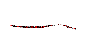 C#CC#CC#CC#CC#CC#CC#CC#CC#CC#CC#CC#CC#CC#CC#CC#CC#CC#CC#CC#CC#CC#CC#CC#CC#CC#CC#CC#CC#CC#CC#CC#CC#CC#CC#CC#CC#CC#CC#CC#CI